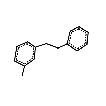 Cc1cccc(CCc2ccccc2)c1